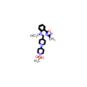 Cc1noc(-c2ccccc2N(CC2CCN(C3CCN(S(C)(=O)=O)CC3)CC2)C(=O)O)n1